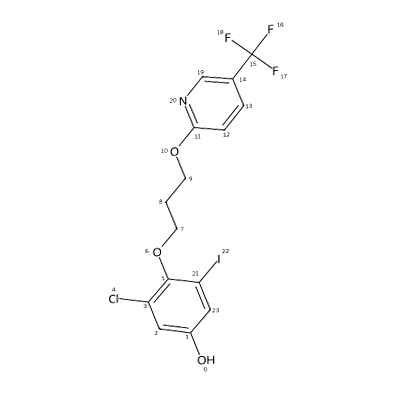 Oc1cc(Cl)c(OCCCOc2ccc(C(F)(F)F)cn2)c(I)c1